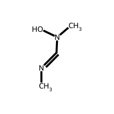 CN=CN(C)O